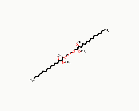 CCCCCCCCCCCCCC(OC)=C(COCOCOCC(OC)=C(CCCCCCCCCCCCC)OC)OC